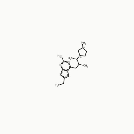 Cc1nc(CC(C)C(C)[C@@H]2CC[C@H](N)C2)c2cc(CC(F)(F)F)sc2n1